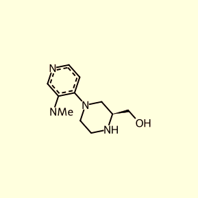 CNc1cnccc1N1CCN[C@H](CO)C1